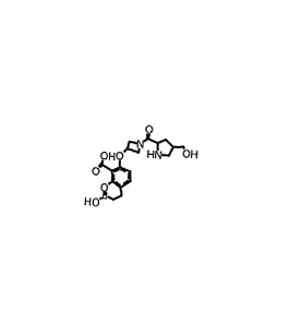 O=C(O)c1c(OC2CN(C(=O)C3CC(CO)CN3)C2)ccc2c1OB(O)CC2